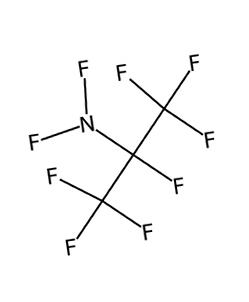 FN(F)C(F)(C(F)(F)F)C(F)(F)F